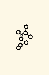 c1ccc(-c2cc(-c3ccccc3)cc(N(c3ccccc3)c3ccc(-c4cc5ccccc5cc4-c4ccccc4)cc3)c2)cc1